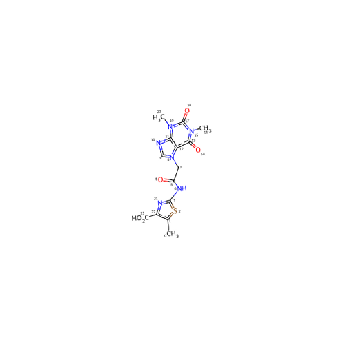 Cc1sc(NC(=O)Cn2cnc3c2c(=O)n(C)c(=O)n3C)nc1C(=O)O